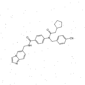 N#Cc1ccc(CN(C(=O)CC2CCCC2)c2ccc(C(=O)NCc3ccc4nccn4c3)cc2)cc1